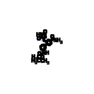 CC(C)(C)OC(=O)N[C@@H]1CCCN(c2ccc(C(N)=O)cc2/C=C2\SC(=O)NC2=O)C1